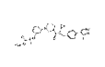 Cc1n[nH]cc1-c1ccc(CN(C(=O)C2CCCN(c3cccc(OC(C)(C)C(=O)OC(C)(C)C)c3)C2)C2CC2)cc1